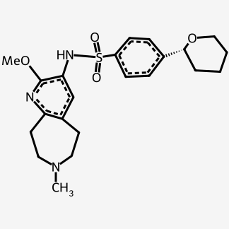 COc1nc2c(cc1NS(=O)(=O)c1ccc([C@H]3CCCCO3)cc1)CCN(C)CC2